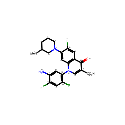 CNC1CCCN(c2cc3c(cc2F)c(=O)c(C(=O)O)cn3-c2cc(N)c(F)cc2F)C1